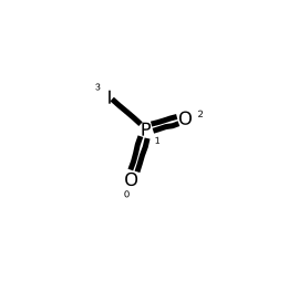 O=P(=O)I